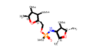 B[C@@H]1O[C@H](COP(=O)(NC2C(OC)[C@H](B)O[C@@H]2CC)OC)C(NC)C1OC